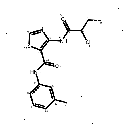 CCC(Cl)C(=O)Nc1ccsc1C(=O)Nc1cccc(C)c1